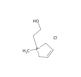 C[P+]1(CCO)CC=CC1.[Cl-]